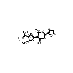 CC(=O)OC1SC(=C2C(=O)CC(c3ccco3)CC2=O)SC1N(C)C